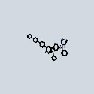 C#C/C=C(\C=C/C)N(c1ccccc1)c1ccc2c3c(n(-c4ccccc4)c2c1)=CC(C)C(c1ccc(-c2ccc(-c4ccccc4)cc2)cc1)C=3